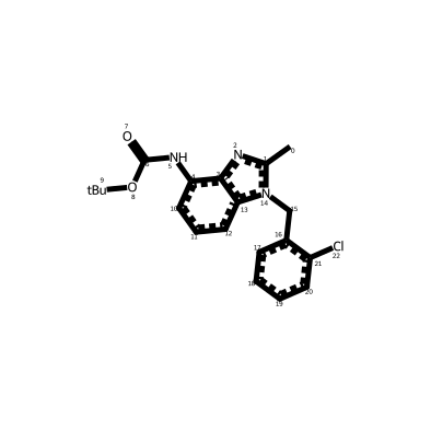 Cc1nc2c(NC(=O)OC(C)(C)C)cccc2n1Cc1ccccc1Cl